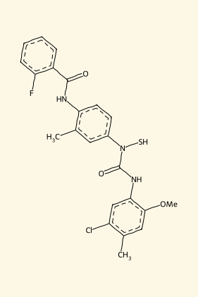 COc1cc(C)c(Cl)cc1NC(=O)N(S)c1ccc(NC(=O)c2ccccc2F)c(C)c1